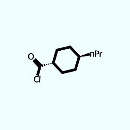 CCC[C@H]1CC[C@H](C(=O)Cl)CC1